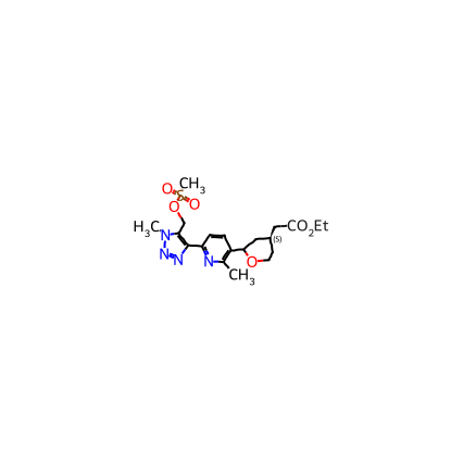 CCOC(=O)C[C@H]1CCOC(c2ccc(-c3nnn(C)c3COS(C)(=O)=O)nc2C)C1